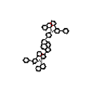 c1ccc(-c2ccc(N(c3ccc(-c4ccc5ccc6c(-c7ccc(N(c8ccc(-c9ccccc9)cc8-c8ccccc8)c8cccc9ccccc89)cc7)ccc7ccc4c5c76)cc3)c3cccc4ccccc34)c(-c3ccccc3)c2)cc1